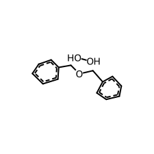 OO.c1ccc(COCc2ccccc2)cc1